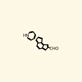 C1=CC=CNC=C1.O=CC1=Cc2c3c(ccc2=C1)=CC=C3